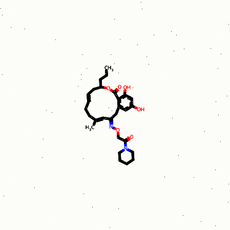 CCCC1C/C=C/CC/C(C)=C/C(=N/OCC(=O)N2CCCCC2)Cc2cc(O)cc(O)c2C(=O)O1